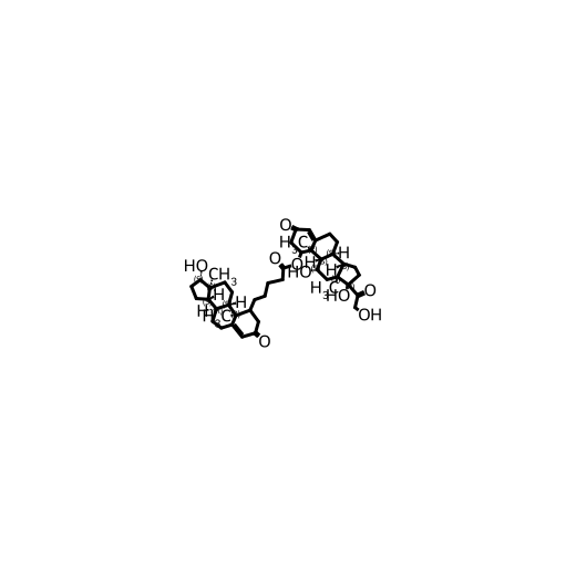 C[C@]12CC[C@H]3[C@@H](CCC4=CC(=O)CC(CCCCC(=O)OC5CC(=O)C=C6CC[C@@H]7[C@H]([C@@H](O)C[C@@]8(C)[C@H]7CC[C@]8(O)C(=O)CO)[C@]65C)[C@@]43C)[C@@H]1CC[C@@H]2O